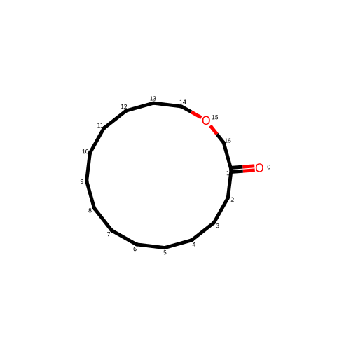 O=C1CCCCCCCCCCCCCOC1